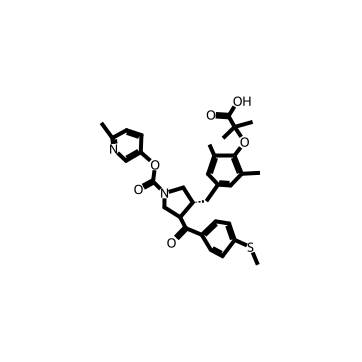 CSc1ccc(C(=O)C2CN(C(=O)Oc3ccc(C)nc3)C[C@@H]2Cc2cc(C)c(OC(C)(C)C(=O)O)c(C)c2)cc1